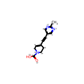 Cc1ncc(C#CC2=CCN(C(=O)O)CC2)cn1